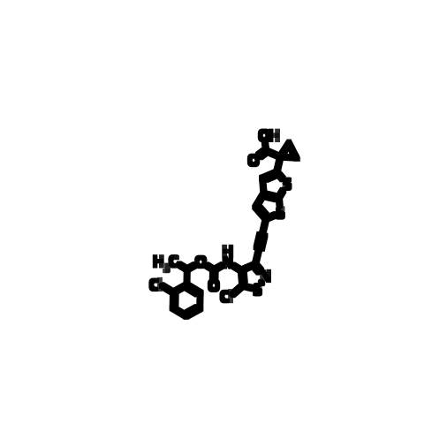 CC(OC(=O)Nc1c(C#Cc2cc3cc(C4(C(=O)O)CC4)sc3s2)nsc1Cl)c1ccccc1Cl